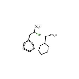 O=C(O)C(Br)Cc1ccccc1.O=C(O)CC1CCCCC1